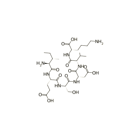 CC[C@H](C)[C@H](N)C(=O)N[C@@H](CCC(=O)O)C(=O)N[C@@H](CO)C(=O)N[C@@H](CC(=O)O)C(=O)N[C@H](C(=O)N[C@@H](CCCCN)C(=O)O)C(C)C